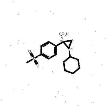 CS(=O)(=O)c1ccc([C@@]2(C(=O)O)C[C@H]2C2CCCCC2)cc1